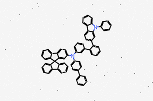 c1ccc(-c2ccc(N(c3cccc(-c4ccccc4-c4ccc5c6ccccc6n(-c6ccccc6)c5c4)c3)c3ccc4c(c3)C3(c5ccccc5-c5ccccc53)c3ccccc3-4)cc2)cc1